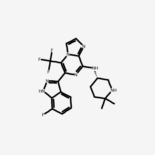 CC1(C)CC[C@H](Nc2nc(-c3n[nH]c4c(F)cccc34)c(C(F)(F)F)n3ccnc23)CN1